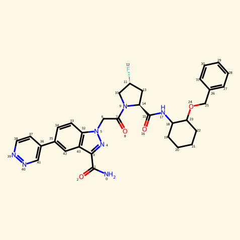 NC(=O)c1nn(CC(=O)N2C[C@H](F)C[C@H]2C(=O)NC2CCCCC2OCc2ccccc2)c2ccc(-c3ccnnc3)cc12